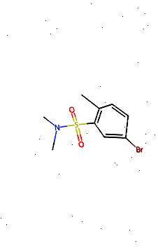 Cc1ccc(Br)cc1S(=O)(=O)N(C)C